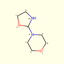 C1COC(N2CCOCC2)N1